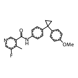 COc1ccc(C2(c3ccc(NC(=O)c4cncc(F)c4C)cc3)CC2)cc1